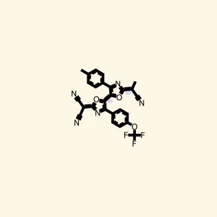 C/C(C#N)=c1\nc(-c2ccc(C)cc2)/c(=c2\oc(=C(C#N)C#N)nc2-c2ccc(OC(F)(F)F)cc2)o1